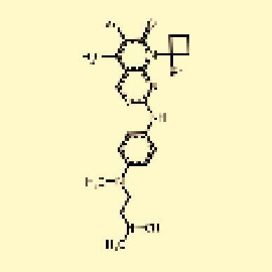 CC(=O)c1c(C)c2cnc(Nc3ccc(N(C)CCN(C)C)cc3)nc2n(C2(C(C)C)CCC2)c1=O